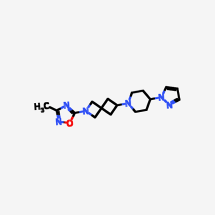 Cc1noc(N2CC3(CC(N4CCC(n5cccn5)CC4)C3)C2)n1